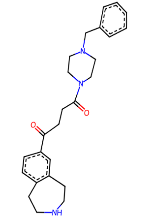 O=C(CCC(=O)N1CCN(Cc2ccccc2)CC1)c1ccc2c(c1)CCNCC2